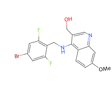 COc1ccc2c(NCc3c(F)cc(Br)cc3F)c(CO)cnc2c1